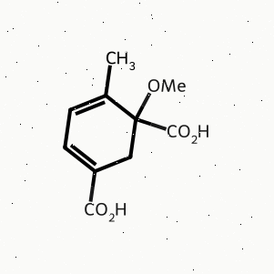 COC1(C(=O)O)CC(C(=O)O)=CC=C1C